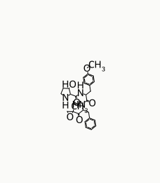 COc1ccc(CC(NC(=O)C2NCCC2O)C(=O)NC(Cc2ccccc2)C(=O)C2(C)CO2)cc1